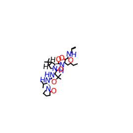 C=CCNC(=O)C(=O)C(CCCC)NC(=O)[C@@H]1[C@@H]2[C@H](CN1C(=O)[C@@H](NC(=O)N[C@H](CN1CCCCC1=O)C(C)C)C(C)(C)C)C2(C)C